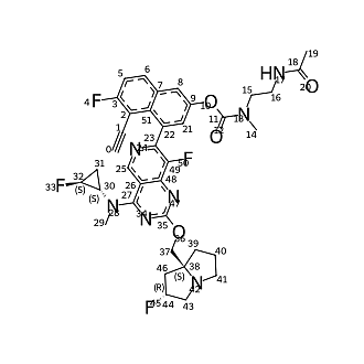 C#Cc1c(F)ccc2cc(OC(=O)N(C)CCNC(C)=O)cc(-c3ncc4c(N(C)[C@H]5C[C@@H]5F)nc(OC[C@@]56CCCN5C[C@H](F)C6)nc4c3F)c12